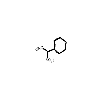 O=[C]C(C(=O)O)C1CCCCC1